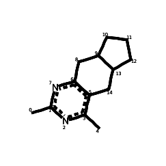 Cc1nc(C)c2c(n1)CC1CCCC1C2